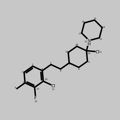 Cc1ccc(CCC2CCC(Cl)([SiH]3CCCCC3)CC2)c(Cl)c1F